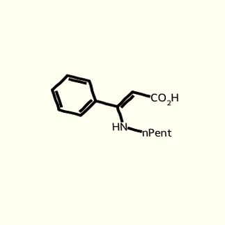 CCCCCN/C(=C\C(=O)O)c1ccccc1